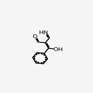 N=C/C(C=O)=C(\O)c1ccccc1